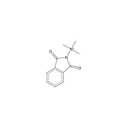 C[N+](C)(C)N1C(=O)c2ccccc2C1=O